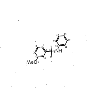 COc1cccc(C(C)(C)Nc2ccccc2)c1